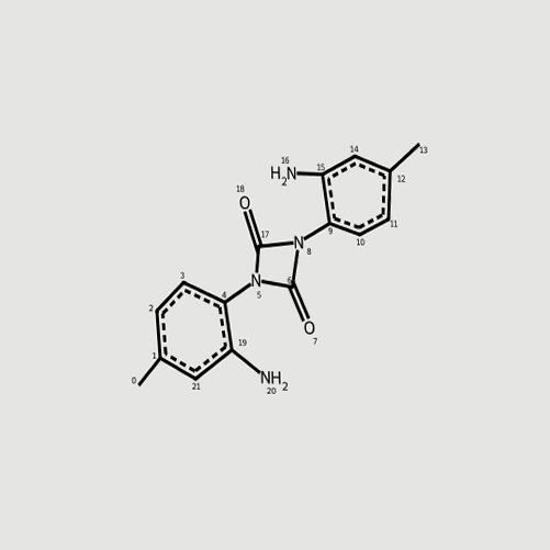 Cc1ccc(N2C(=O)N(c3ccc(C)cc3N)C2=O)c(N)c1